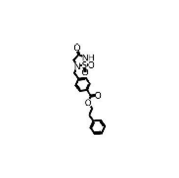 O=C1CN(Cc2ccc(C(=O)OCCc3ccccc3)cc2)S(=O)(=O)N1